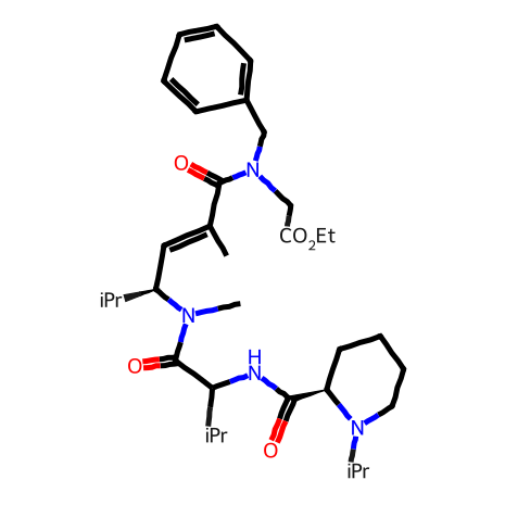 CCOC(=O)CN(Cc1ccccc1)C(=O)/C(C)=C/[C@H](C(C)C)N(C)C(=O)C(NC(=O)[C@H]1CCCCN1C(C)C)C(C)C